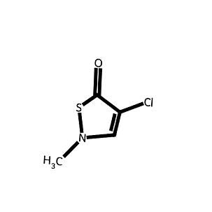 Cn1cc(Cl)c(=O)s1